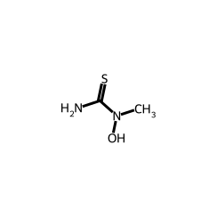 CN(O)C(N)=S